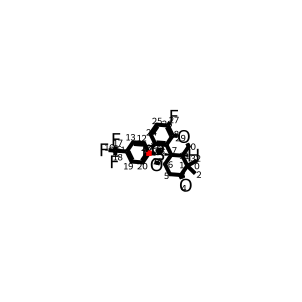 CC1(C)C(=O)CC[C@]2(S(=O)(=O)c3ccc(C(F)(F)F)cc3)c3c(F)ccc(F)c3OC[C@H]12